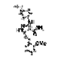 COc1ccccc1/C=N/c1[nH]nc(Nc2ccc(CI)cc2)c1C(N)=O